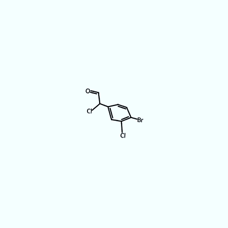 O=CC(Cl)c1ccc(Br)c(Cl)c1